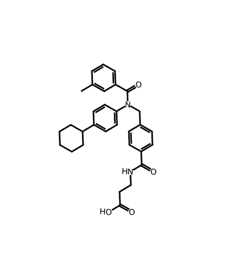 Cc1cccc(C(=O)N(Cc2ccc(C(=O)NCCC(=O)O)cc2)c2ccc(C3CCCCC3)cc2)c1